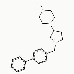 CN1CCN(C2CCN(Cc3ccc(-c4ccccc4)cc3)C2)CC1